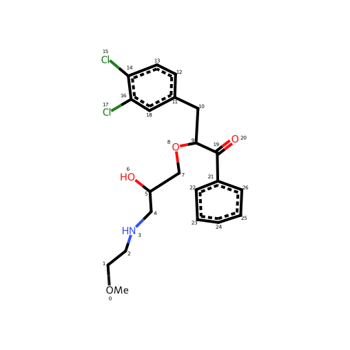 COCCNCC(O)COC(Cc1ccc(Cl)c(Cl)c1)C(=O)c1ccccc1